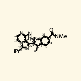 CNC(=O)c1ccc2c(C)c(-c3nc(C(C)C)n4ccnc(N)c34)[nH]c2c1